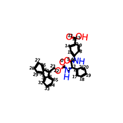 O=C(NC(C(=O)Nc1ccc(C(=O)O)cc1)c1ccccc1)OCC1c2ccccc2-c2ccccc21